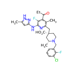 CCC(=O)c1c(C)c(C[C@@]2(C(=O)O)CCN(Cc3cccc(Cl)c3F)[C@H](C)C2)nc(Nc2cc(C)[nH]n2)c1F